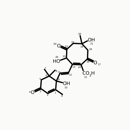 CC1=CC(=O)CC(C)(C)C1(O)C=C/C1=C(\C(=O)O)C(=O)CC(C)(O)CC(=O)C1O